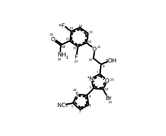 N#Cc1ccc(-c2nc(C(O)COc3ccc(F)c(C(N)=O)c3F)oc2Br)s1